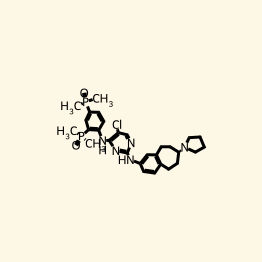 CP(C)(=O)c1ccc(Nc2nc(Nc3ccc4c(c3)CC[C@@H](N3CCCC3)CC4)ncc2Cl)c(P(C)(C)=O)c1